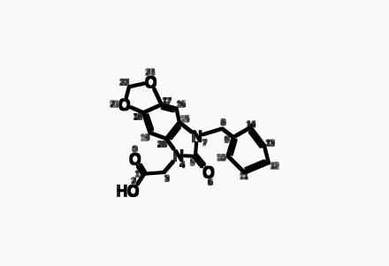 O=C(O)Cn1c(=O)n(Cc2ccccc2)c2cc3c(cc21)OCO3